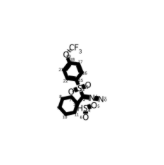 [N-]=[N+]=C(C1([SH](=O)=O)CCCCC1)S(=O)(=O)c1ccc(OC(F)(F)F)cc1